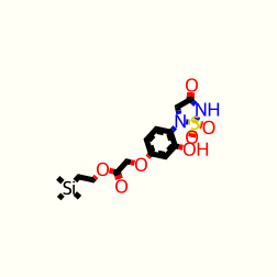 C[Si](C)(C)CCOC(=O)COc1ccc(N2CC(=O)NS2(=O)=O)c(O)c1